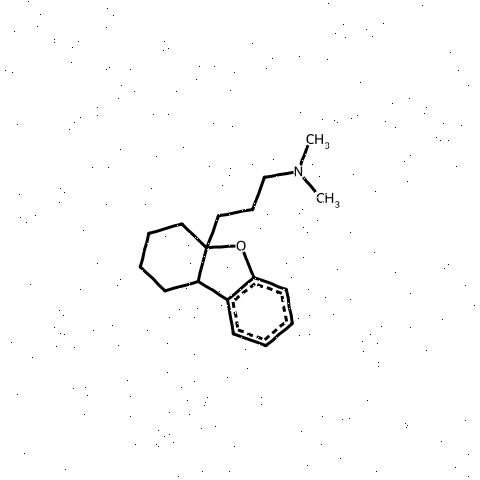 CN(C)CCCC12CCCCC1c1ccccc1O2